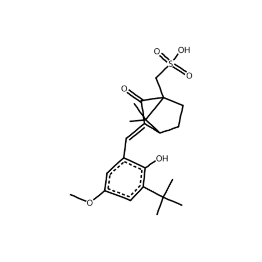 COc1cc(C=C2C(=O)C3(CS(=O)(=O)O)CCC2C3(C)C)c(O)c(C(C)(C)C)c1